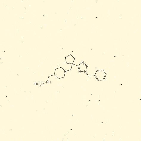 O=C(O)NCC1CCN(CC2(c3nnn(Cc4ccccc4)n3)CCCC2)CC1